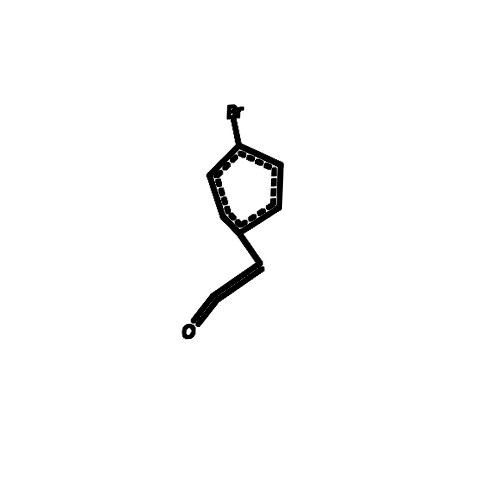 O=C=Cc1ccc(Br)cc1